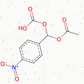 CC(=O)OC(OC(=O)O)c1ccc([N+](=O)[O-])cc1